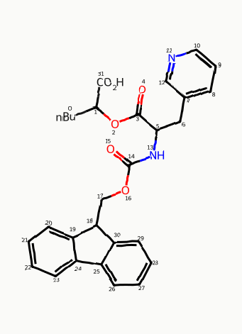 CCCCC(OC(=O)C(Cc1cccnc1)NC(=O)OCC1c2ccccc2-c2ccccc21)C(=O)O